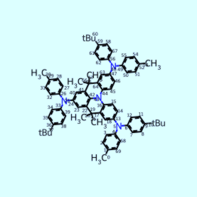 Cc1ccc(N(c2ccc(C(C)(C)C)cc2)c2ccc3c(c2)C(C)(C)c2cc(N(c4ccc(C)cc4)c4ccc(C(C)(C)C)cc4)cc4c2N3c2ccc(N(c3ccc(C)cc3)c3ccc(C(C)(C)C)cc3)cc2C4(C)C)cc1